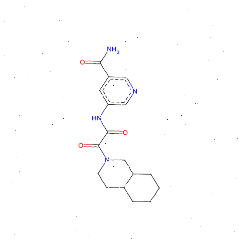 NC(=O)c1cncc(NC(=O)C(=O)N2CCC3CCCCC3C2)c1